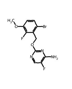 COc1ccc(Br)c(COc2ncc(F)c(N)n2)c1F